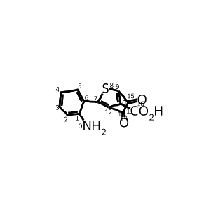 Nc1ccccc1-c1sc2c(C(=O)O)c1C(=O)C2=O